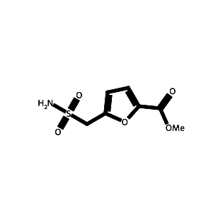 COC(=O)c1ccc(CS(N)(=O)=O)o1